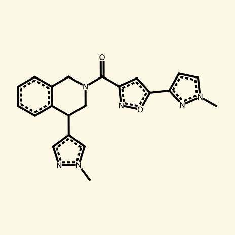 Cn1cc(C2CN(C(=O)c3cc(-c4ccn(C)n4)on3)Cc3ccccc32)cn1